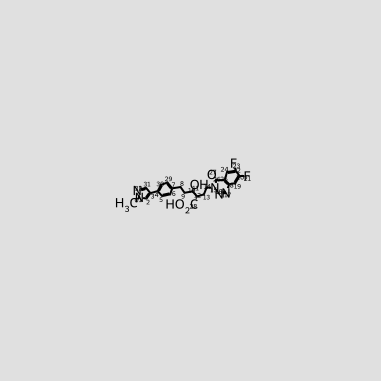 Cn1cc(-c2ccc(CC[C@@H](O)[C@H](CCn3nnc4cc(F)c(F)cc4c3=O)C(=O)O)cc2)cn1